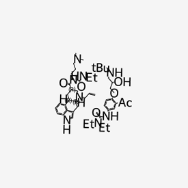 C=CCN1C[C@H](C(=O)N(CCCN(C)C)C(=O)NCC)C[C@@H]2c3cccc4[nH]cc(c34)C[C@H]21.CCN(CC)C(=O)Nc1ccc(OCC(O)CNC(C)(C)C)c(C(C)=O)c1